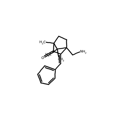 CC12CCC(CN)(C(=Cc3ccccc3)C1=O)C2(C)C